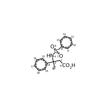 O=C(O)CC(F)(NS(=O)(=O)c1ccccc1)c1ccccc1